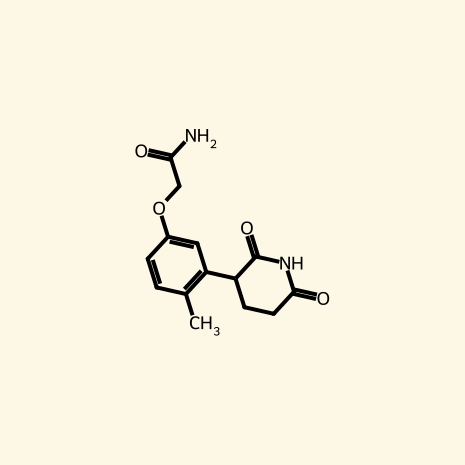 Cc1ccc(OCC(N)=O)cc1C1CCC(=O)NC1=O